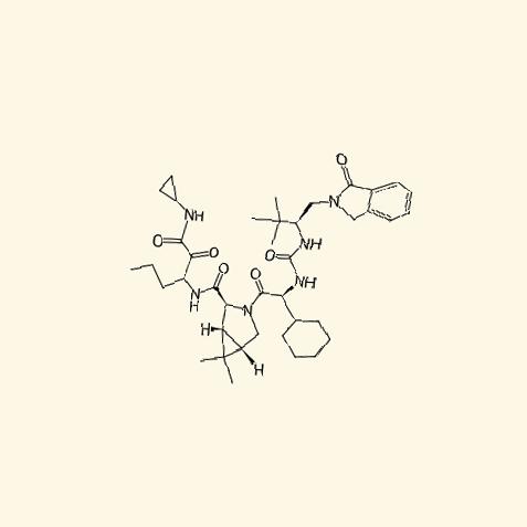 CCCC(NC(=O)[C@@H]1[C@@H]2[C@H](CN1C(=O)[C@@H](NC(=O)N[C@H](CN1Cc3ccccc3C1=O)C(C)(C)C)C1CCCCC1)C2(C)C)C(=O)C(=O)NC1CC1